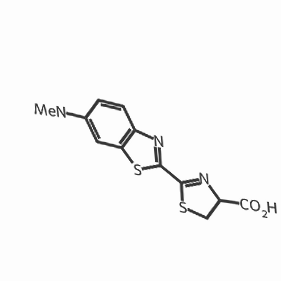 CNc1ccc2nc(C3=NC(C(=O)O)CS3)sc2c1